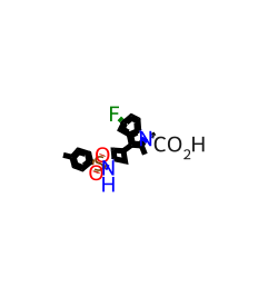 Cc1ccc(S(=O)(=O)NC2CC(c3c(C)n(CC(=O)O)c4ccc(F)cc34)C2)cc1